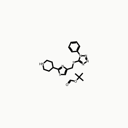 CC(C)(C)OC=O.c1ccc(-n2nnnc2SCc2csc(C3CCNCC3)n2)cc1